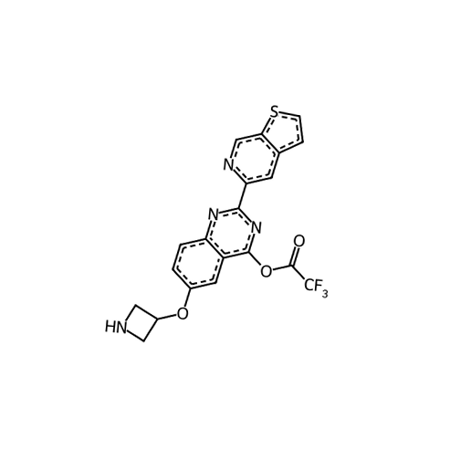 O=C(Oc1nc(-c2cc3ccsc3cn2)nc2ccc(OC3CNC3)cc12)C(F)(F)F